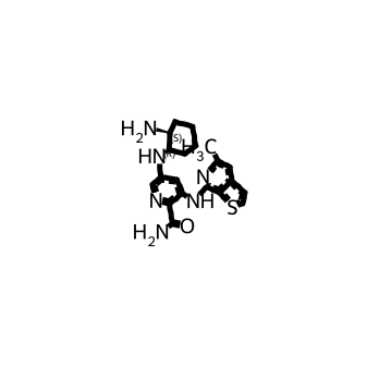 Cc1cc2ccsc2c(Nc2cc(N[C@@H]3CCCC[C@@H]3N)cnc2C(N)=O)n1